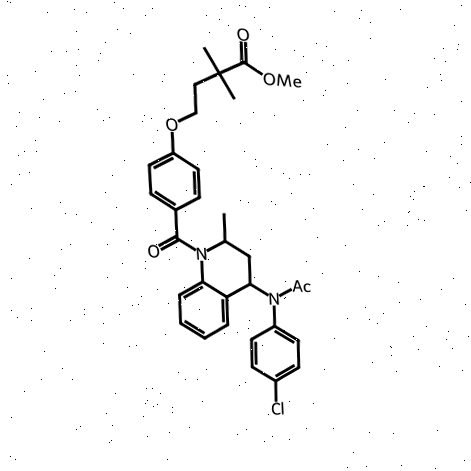 COC(=O)C(C)(C)CCOc1ccc(C(=O)N2c3ccccc3C(N(C(C)=O)c3ccc(Cl)cc3)CC2C)cc1